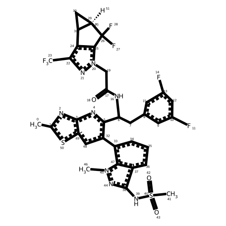 Cc1nc2nc(C(Cc3cc(F)cc(F)c3)NC(=O)Cn3nc(C(F)(F)F)c4c3C(F)(F)[C@@H]3CC43)c(-c3cccc4c(NS(C)(=O)=O)nn(C)c34)cc2s1